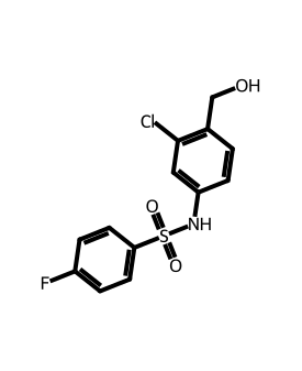 O=S(=O)(Nc1ccc(CO)c(Cl)c1)c1ccc(F)cc1